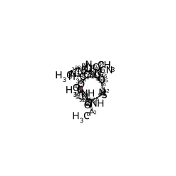 C[C@H]1C[C@@H]1C(=O)N[C@H]1Cc2nc(cs2)-c2ccc3c(c2)c(c(-c2cncc(N4CCN(C)CC4)c2)n3C(C)(C)C#N)CC(C)(C)COC(=O)[C@@]2(C)CCCN(N2)C1=O